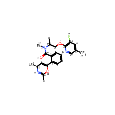 CC[C@H]1C=C(c2ccccc2C(=O)N(CC)C(C)COc2ncc(C(F)(F)F)cc2F)OC(C)=N1